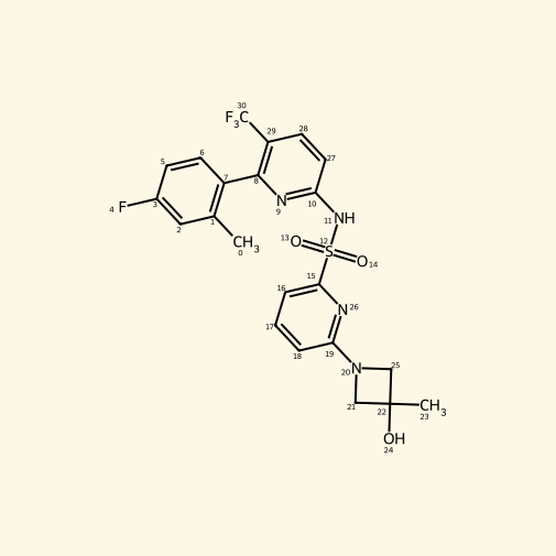 Cc1cc(F)ccc1-c1nc(NS(=O)(=O)c2cccc(N3CC(C)(O)C3)n2)ccc1C(F)(F)F